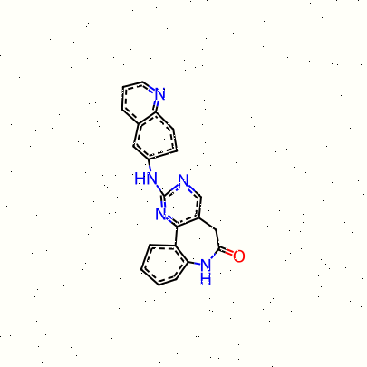 O=C1Cc2cnc(Nc3ccc4ncccc4c3)nc2-c2ccccc2N1